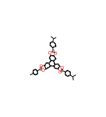 Cc1ccc(B2Oc3cc4c(cc3O2)c2cc3c(cc2c2cc5c(cc42)OB(c2ccc(C(C)C)cc2)O5)OB(c2ccc(C(C)C)cc2)O3)cc1